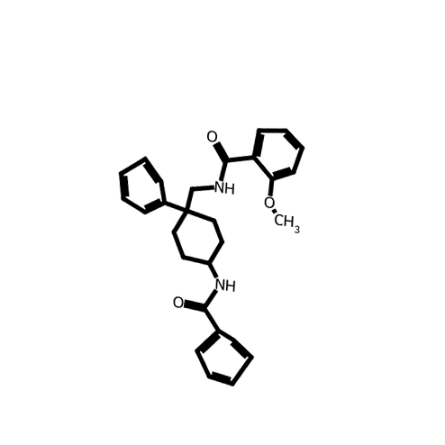 COc1ccccc1C(=O)NCC1(c2ccccc2)CCC(NC(=O)c2ccccc2)CC1